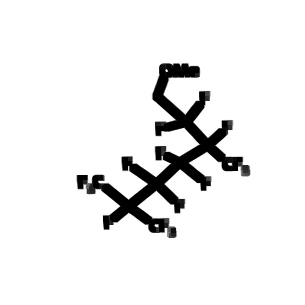 COCC(F)(F)C(F)(C(F)(F)F)C(F)(F)C(F)(F)C(F)(C(F)(F)F)C(F)(F)F